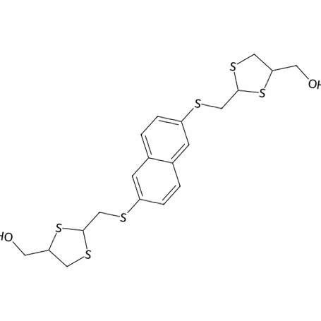 OCC1CSC(CSc2ccc3cc(SCC4SCC(CO)S4)ccc3c2)S1